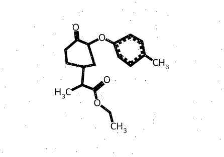 CCOC(=O)C(C)C1CCC(=O)C(Oc2ccc(C)cc2)C1